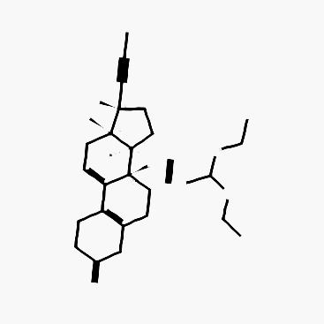 C=C.CC#C[C@]1(O)CC[C@H]2[C@@H]3CCC4=C(CCC(=O)C4)C3=CC[C@@]21C.CCOC(C)OCC